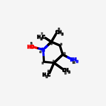 CC1(C)CN(O)C(C)(C)CC1N